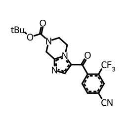 CC(C)(C)OC(=O)N1CCn2c(C(=O)c3ccc(C#N)cc3C(F)(F)F)cnc2C1